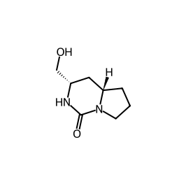 O=C1N[C@H](CO)C[C@@H]2CCCN12